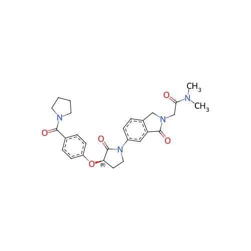 CN(C)C(=O)CN1Cc2ccc(N3CC[C@@H](Oc4ccc(C(=O)N5CCCC5)cc4)C3=O)cc2C1=O